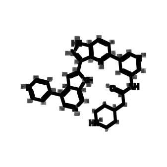 O=C(CC1CCNCC1)Nc1cncc(-c2ccc3[nH]nc(-c4cc5c(-c6ccncc6)cncc5[nH]4)c3n2)c1